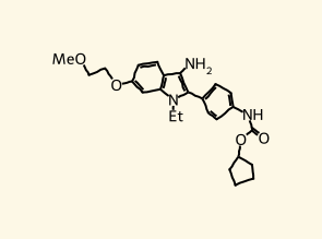 CCn1c(-c2ccc(NC(=O)OC3CCCC3)cc2)c(N)c2ccc(OCCOC)cc21